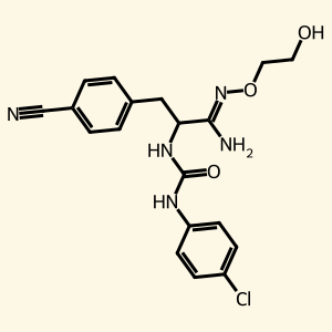 N#Cc1ccc(CC(NC(=O)Nc2ccc(Cl)cc2)C(N)=NOCCO)cc1